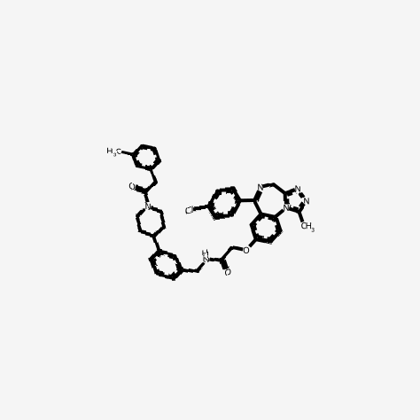 Cc1cccc(CC(=O)N2CCC(c3cccc(CNC(=O)COc4ccc5c(c4)C(c4ccc(Cl)cc4)=NCc4nnc(C)n4-5)c3)CC2)c1